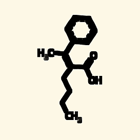 CCCCC(C(=O)O)=C(C)c1ccccc1